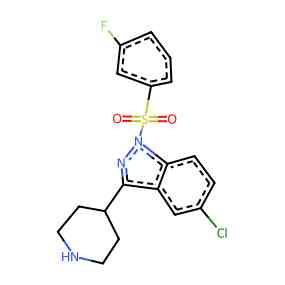 O=S(=O)(c1cccc(F)c1)n1nc(C2CCNCC2)c2cc(Cl)ccc21